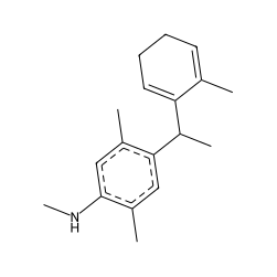 CNc1cc(C)c(C(C)C2=CCCC=C2C)cc1C